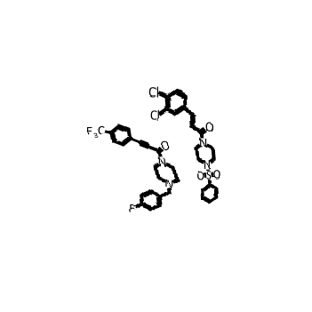 O=C(/C=C/c1ccc(Cl)c(Cl)c1)N1CCN(S(=O)(=O)c2ccccc2)CC1.O=C(C#Cc1ccc(C(F)(F)F)cc1)N1CCN(Cc2ccc(F)cc2)CC1